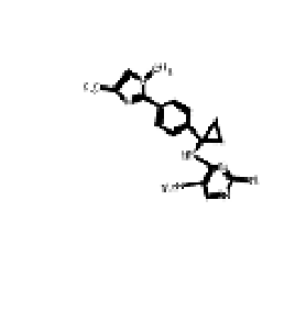 CNc1cnc(Cl)nc1NC1(c2ccc(-c3nc(C(F)(F)F)cn3C)cc2)CC1